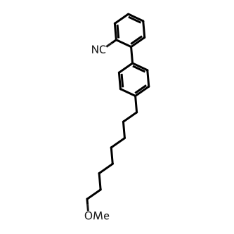 COCCCCCCCCc1ccc(-c2ccccc2C#N)cc1